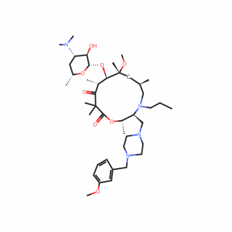 CCCN1C[C@H](C)C[C@@](C)(OC)[C@H](O[C@@H]2O[C@H](C)C[C@H](N(C)C)[C@H]2O)[C@@H](C)C(=O)C(C)(C)C(=O)O[C@@H](C)[C@@H]1CN1CCN(Cc2cccc(OC)c2)CC1